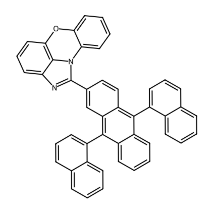 c1ccc2c(c1)Oc1cccc3nc(-c4ccc5c(-c6cccc7ccccc67)c6ccccc6c(-c6cccc7ccccc67)c5c4)n-2c13